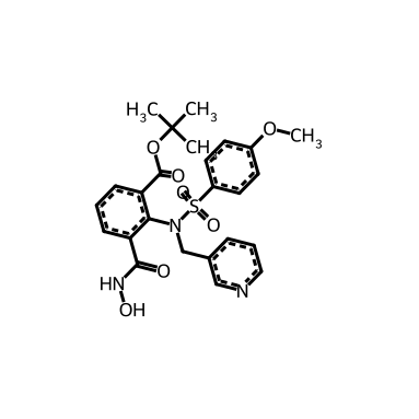 COc1ccc(S(=O)(=O)N(Cc2cccnc2)c2c(C(=O)NO)cccc2C(=O)OC(C)(C)C)cc1